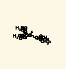 CCS(=O)(=O)c1ccc(Oc2ccc(CCC3CCN(C(=O)OC(C)(C)C)CC3)c(F)c2)c(-c2cn(C)c(=O)c3ccccc23)c1